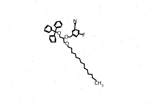 CCCCCCCCCCCCCCCOCC(COC(c1ccccc1)(c1ccccc1)c1ccccc1)OCc1cc(F)cc(C#N)c1